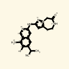 CC(C#N)c1cc2cc(Nc3cc4n(n3)CC(=O)NCC4)ncc2c(N)c1F